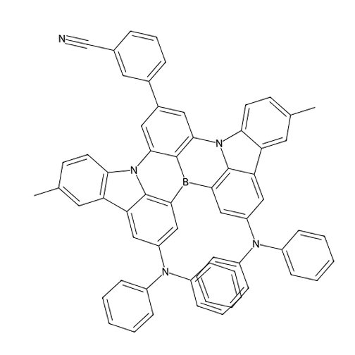 Cc1ccc2c(c1)c1cc(N(c3ccccc3)c3ccccc3)cc3c1n2-c1cc(-c2cccc(C#N)c2)cc2c1B3c1cc(N(c3ccccc3)c3ccccc3)cc3c4cc(C)ccc4n-2c13